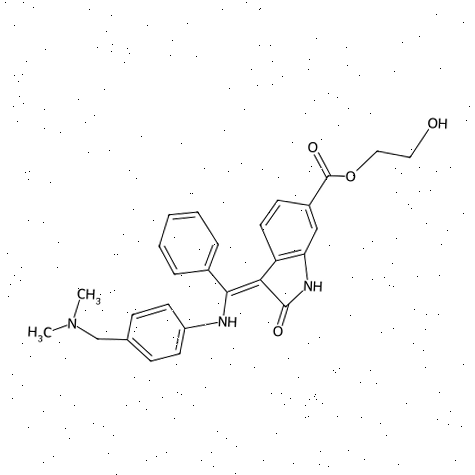 CN(C)Cc1ccc(N/C(=C2\C(=O)Nc3cc(C(=O)OCCO)ccc32)c2ccccc2)cc1